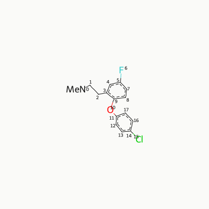 CNCCc1cc(F)ccc1Oc1ccc(Cl)cc1